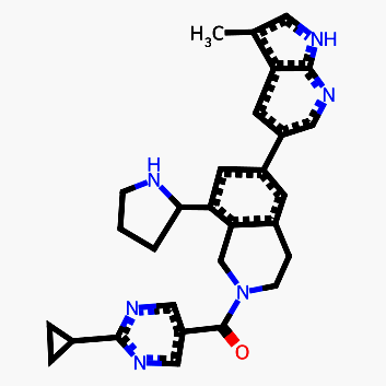 Cc1c[nH]c2ncc(-c3cc4c(c(C5CCCN5)c3)CN(C(=O)c3cnc(C5CC5)nc3)CC4)cc12